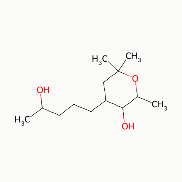 CC(O)CCCC1CC(C)(C)OC(C)C1O